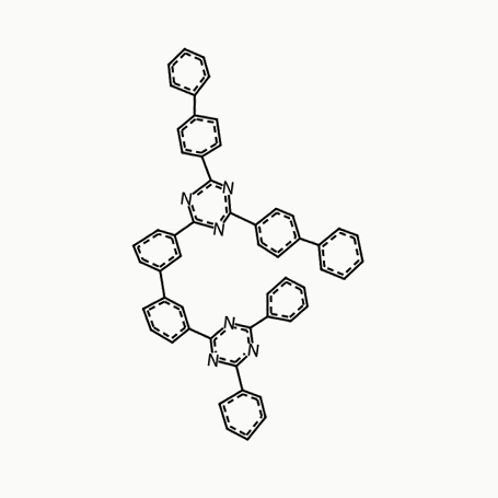 c1ccc(-c2ccc(-c3nc(-c4ccc(-c5ccccc5)cc4)nc(-c4cccc(-c5cccc(-c6nc(-c7ccccc7)nc(-c7ccccc7)n6)c5)c4)n3)cc2)cc1